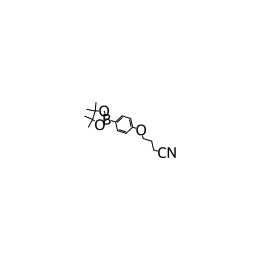 CC1(C)OB(c2ccc(OCCCC#N)cc2)OC1(C)C